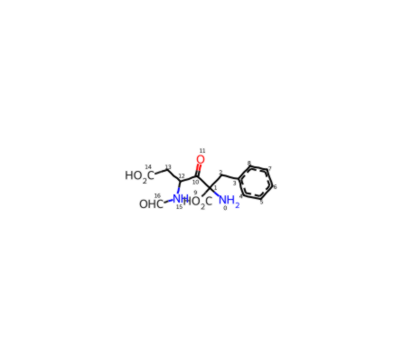 NC(Cc1ccccc1)(C(=O)O)C(=O)C(CC(=O)O)NC=O